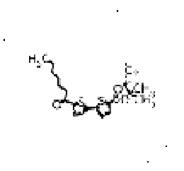 C=C1OB(c2ccc(-c3ccc(C(=O)CCCCCC)s3)s2)OC1(C)C